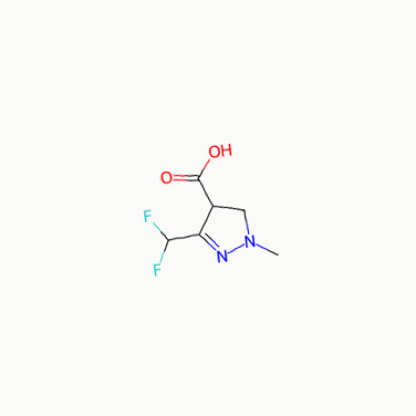 CN1CC(C(=O)O)C(C(F)F)=N1